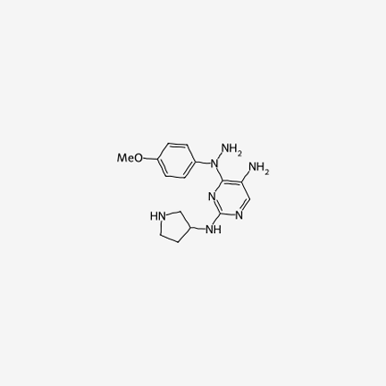 COc1ccc(N(N)c2nc(NC3CCNC3)ncc2N)cc1